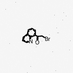 O=C(CBr)c1cccc2cccnc12